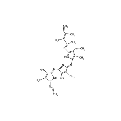 C=C/N=C1\N/C(=N\C2=NC(=N\c3[nH]c(/N=C(N)/C(C)=C(\C)C=C)c(C=C)c3C)/C(C)=C2CCC)C(CCC)=C1C